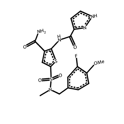 COc1ccc(CN(C)S(=O)(=O)c2cc(C(N)=O)c(NC(=O)c3cc[nH]n3)s2)cc1F